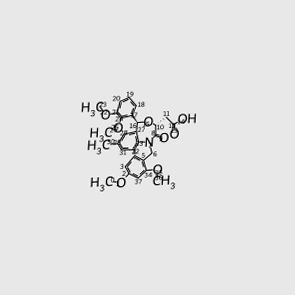 COc1ccc(CN2C(=O)[C@@H](CC(=O)O)O[C@H](c3cccc(OC)c3OC)c3cc(C)ccc32)c(OC)c1